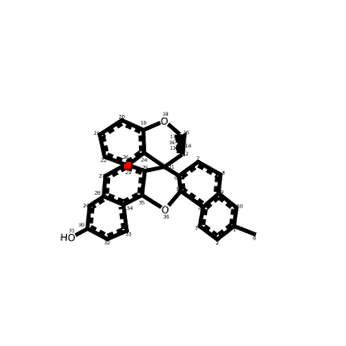 Cc1ccc2c3c(ccc2c1)C1(c2ccccc2Oc2ccccc21)c1ccc2cc(O)ccc2c1O3